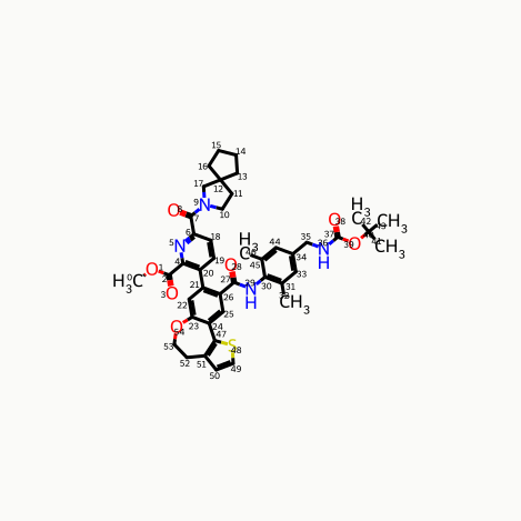 COC(=O)c1nc(C(=O)N2CCC3(CCCC3)C2)ccc1-c1cc2c(cc1C(=O)Nc1c(C)cc(CNC(=O)OC(C)(C)C)cc1C)-c1sccc1CCO2